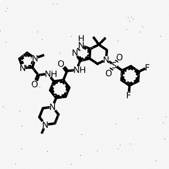 CN1CCN(c2ccc(C(=O)Nc3n[nH]c4c3CN(S(=O)(=O)c3cc(F)cc(F)c3)CC4(C)C)c(NC(=O)c3nccn3C)c2)CC1